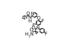 NC(=O)C1(C(=O)N(c2ccc(F)cc2)c2cc(F)c(Oc3ccnc(NC(=O)N4CCC4)c3)cc2F)CC1